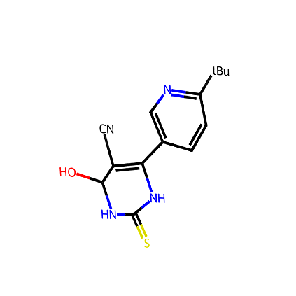 CC(C)(C)c1ccc(C2=C(C#N)C(O)NC(=S)N2)cn1